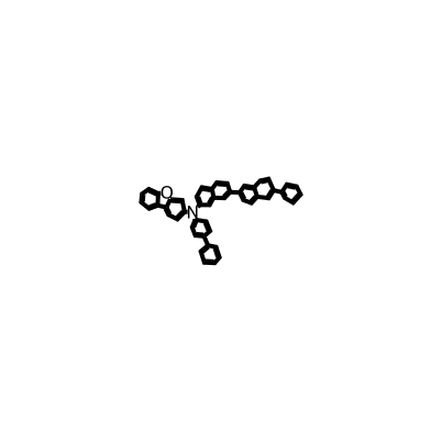 c1ccc(-c2ccc(N(c3ccc4ccc(-c5ccc6cc(-c7ccccc7)ccc6c5)cc4c3)c3ccc4c(c3)oc3ccccc34)cc2)cc1